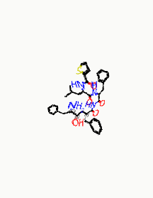 CC(C)CC(NC(=O)c1cccs1)C(=O)NC(Cc1ccccc1)C(=O)NC(=O)[C@H](Cc1ccccc1)C[C@H](O)[C@@H](N)Cc1ccccc1